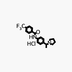 CC(c1ccc(NC(=O)c2ccc(C(F)(F)F)cc2)cc1)N1CCCC1.Cl